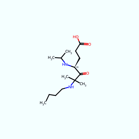 CCCCNC(C)(C)C(=O)[C@H](CCC(=O)O)NC(C)C